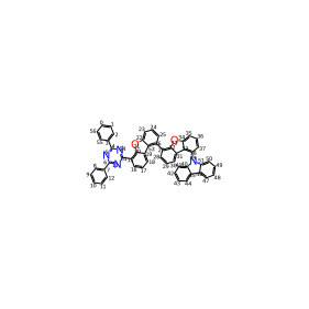 c1ccc(-c2nc(-c3ccccc3)nc(-c3cccc4c3oc3cccc(-c5cccc6c5oc5cccc(-n7c8ccccc8c8ccccc87)c56)c34)n2)cc1